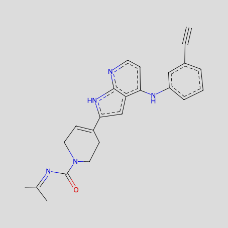 C#Cc1cccc(Nc2ccnc3[nH]c(C4=CCN(C(=O)N=C(C)C)CC4)cc23)c1